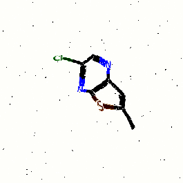 Cc1cc2ncc(Cl)nc2s1